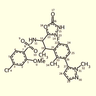 COc1cc(Cl)ccc1S(=O)(=O)NC(c1n[nH]c(=O)o1)C(C)c1c(F)ccc(-c2ccnn2C)c1C